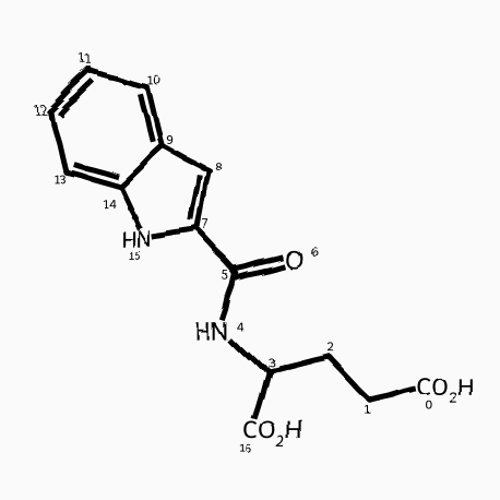 O=C(O)CCC(NC(=O)c1cc2ccccc2[nH]1)C(=O)O